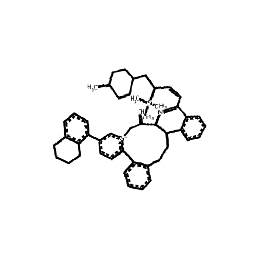 C=C1C[n+]2cc(-c3cccc4c3CCCC4)ccc2-c2ccccc2CCC2c3ccccc3C(/C=C\C(CC3CCC(C)CC3)[Si](C)(C)C)=NC12